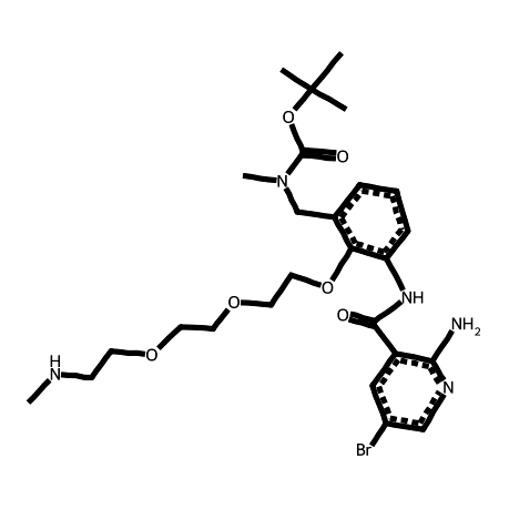 CNCCOCCOCCOc1c(CN(C)C(=O)OC(C)(C)C)cccc1NC(=O)c1cc(Br)cnc1N